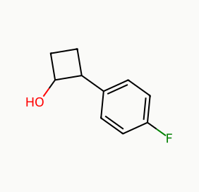 OC1CCC1c1ccc(F)cc1